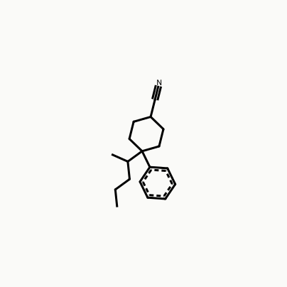 CCCC(C)C1(c2ccccc2)CCC(C#N)CC1